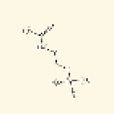 CS(C)(Cl)CCCNC(=O)C(F)(F)F